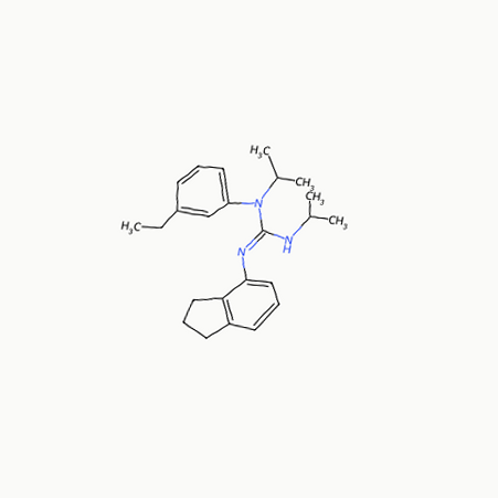 CCc1cccc(N(C(=Nc2cccc3c2CCC3)NC(C)C)C(C)C)c1